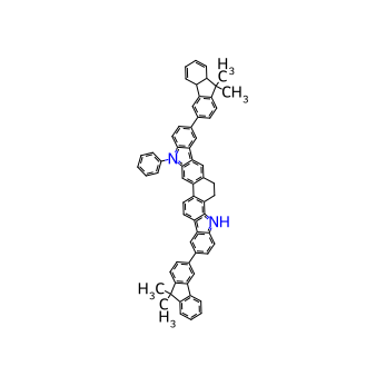 CC1(C)c2ccccc2-c2cc(-c3ccc4[nH]c5c6c(ccc5c4c3)-c3cc4c(cc3CC6)c3cc(-c5ccc6c(c5)C5C=CC=CC5C6(C)C)ccc3n4-c3ccccc3)ccc21